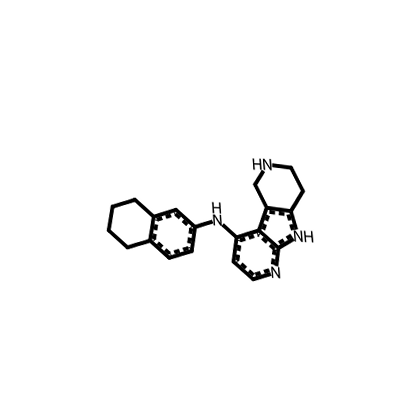 c1cc(Nc2ccc3c(c2)CCCC3)c2c3c([nH]c2n1)CCNC3